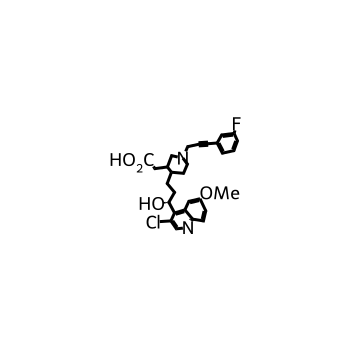 COc1ccc2ncc(Cl)c([C@H](O)CCC3CCN(CC#Cc4cccc(F)c4)CC3CC(=O)O)c2c1